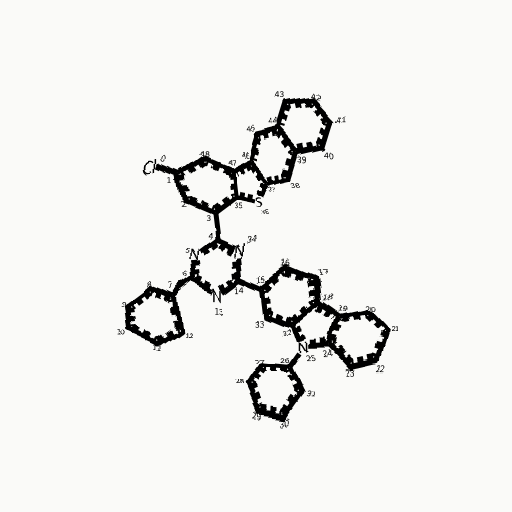 Clc1cc(-c2nc(-c3ccccc3)nc(-c3ccc4c5ccccc5n(-c5ccccc5)c4c3)n2)c2sc3cc4ccccc4cc3c2c1